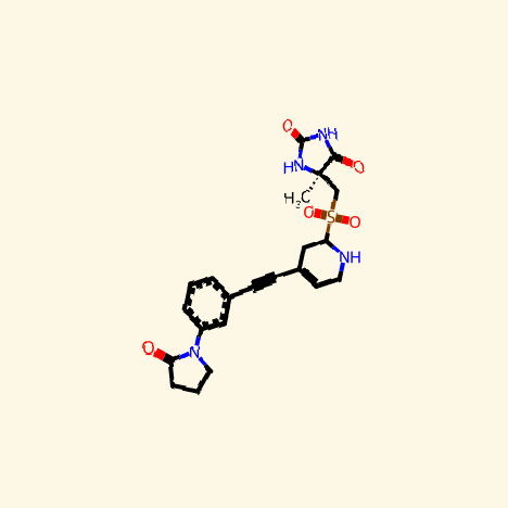 C[C@]1(CS(=O)(=O)C2CC(C#Cc3cccc(N4CCCC4=O)c3)=CCN2)NC(=O)NC1=O